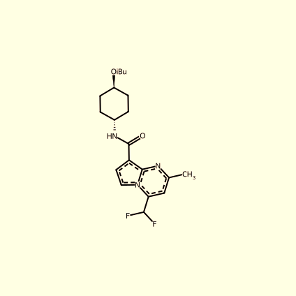 Cc1cc(C(F)F)n2ccc(C(=O)N[C@H]3CC[C@H](OCC(C)C)CC3)c2n1